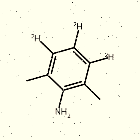 [2H]c1c([2H])c(C)c(N)c(C)c1[2H]